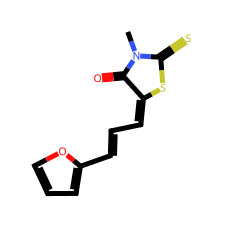 CN1C(=O)/C(=C\C=C\c2ccco2)SC1=S